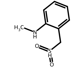 CNc1ccccc1C[SH](=O)=O